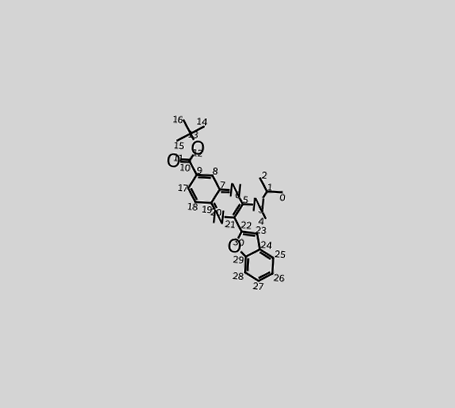 CC(C)N(C)c1nc2cc(C(=O)OC(C)(C)C)ccc2nc1-c1cc2ccccc2o1